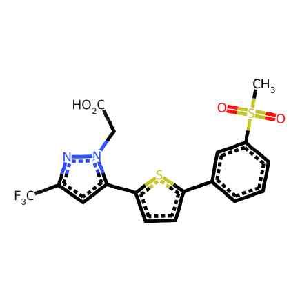 CS(=O)(=O)c1cccc(-c2ccc(-c3cc(C(F)(F)F)nn3CC(=O)O)s2)c1